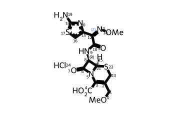 COCC1=C(C(=O)O)N2C(=O)[C@@H](NC(=O)/C(=N\OC)c3csc(N)n3)[C@H]2SC1.Cl